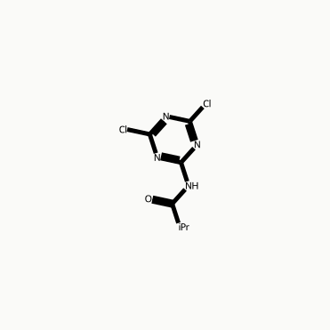 CC(C)C(=O)Nc1nc(Cl)nc(Cl)n1